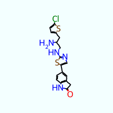 NC(CNc1ncc(-c2ccc3c(c2)CC(=O)N3)s1)Cc1ccc(Cl)s1